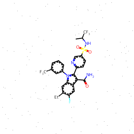 CCc1cc2c(cc1F)c(C(N)=O)c(-c1ccc(S(=O)(=O)NC(C)C(F)(F)F)cn1)n2-c1cccc(C(F)(F)F)c1